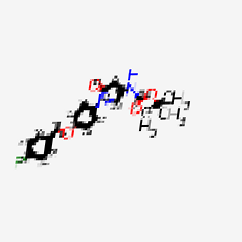 CC(C)(C)OC(=O)N[C@@H]1CC(=O)N(c2ccc(OCc3ccc(F)cc3)cc2)C1